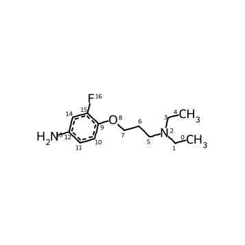 CCN(CC)CCCOc1ccc(N)cc1F